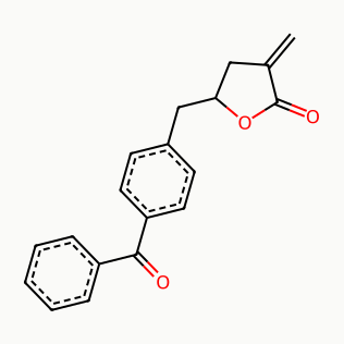 C=C1CC(Cc2ccc(C(=O)c3ccccc3)cc2)OC1=O